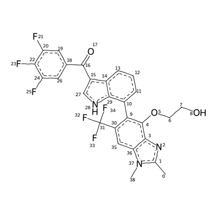 Cc1nc2c(OCCO)c(-c3cccc4c(C(=O)c5cc(F)c(F)c(F)c5)c[nH]c34)c(C(F)(F)F)cc2n1C